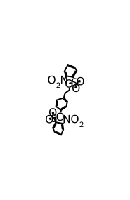 O=[N+]([O-])c1ccccc1S(=O)(=O)OCCc1ccc(OS(=O)(=O)c2ccccc2[N+](=O)[O-])cc1